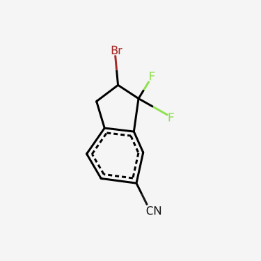 N#Cc1ccc2c(c1)C(F)(F)C(Br)C2